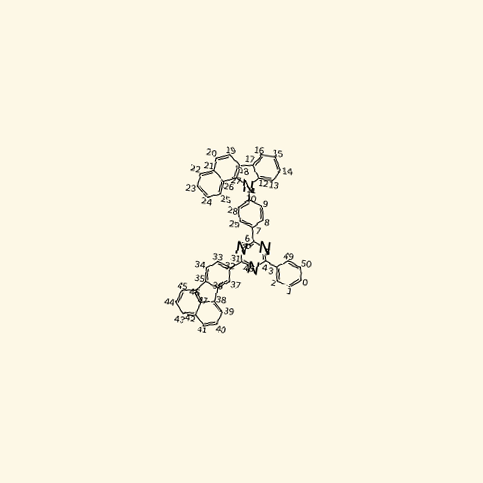 c1ccc(-c2nc(-c3ccc(-n4c5ccccc5c5ccc6ccccc6c54)cc3)nc(-c3ccc4c(c3)-c3cccc5cccc-4c35)n2)cc1